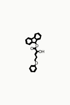 O=C(OC1c2ccccc2-c2ccccc21)C(O)=CCCOc1ccccc1